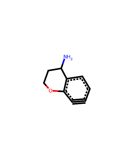 NC1CCOc2c#cccc21